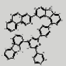 c1ccc(-c2nc(-c3ccc(-c4cccc5oc6ccc(-c7ccc8c(ccc9ccccc98)c7)cc6c45)cc3)nc(-c3cccc4c3sc3ccccc34)n2)cc1